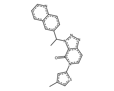 Cc1csc(-n2ccc3nnn(C(C)c4ccc5ncccc5c4)c3c2=O)c1